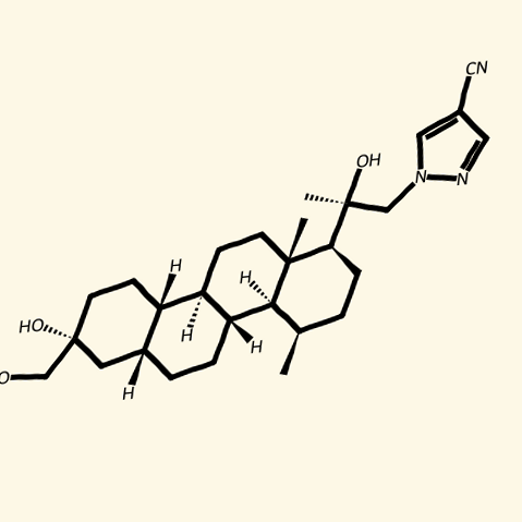 COC[C@@]1(O)CC[C@H]2[C@H](CC[C@@H]3[C@@H]2CC[C@@]2(C)[C@H]3[C@H](C)CC[C@@H]2[C@@](C)(O)Cn2cc(C#N)cn2)C1